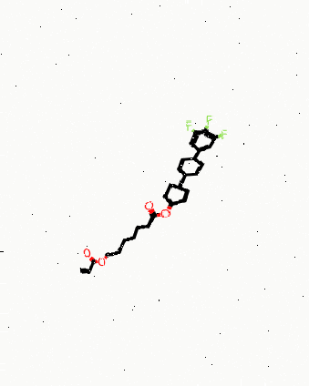 C=CC(=O)OCCCCCCC(=O)OC1CCC(C2CCC(c3cc(F)c(F)c(F)c3)CC2)CC1